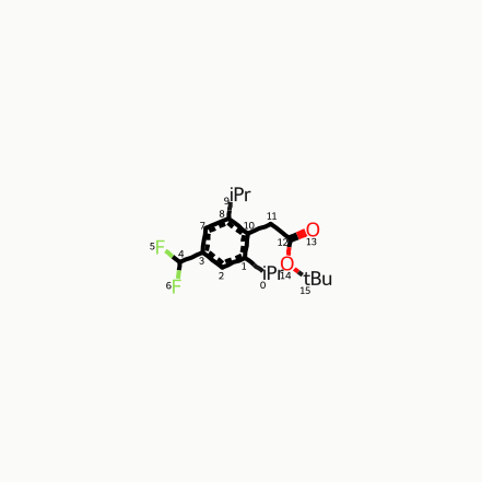 CC(C)c1cc(C(F)F)cc(C(C)C)c1CC(=O)OC(C)(C)C